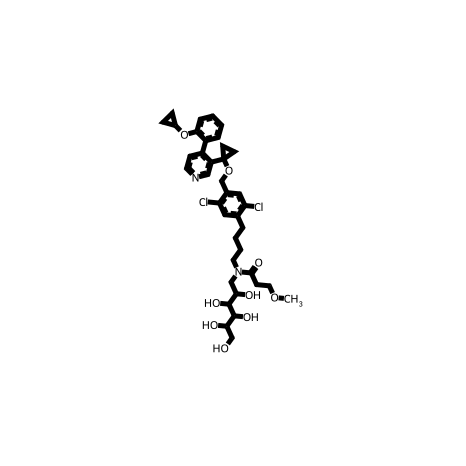 COCCC(=O)N(CCCCc1cc(Cl)c(COC2(c3cnccc3-c3ccccc3OC3CC3)CC2)cc1Cl)CC(O)C(O)C(O)C(O)CO